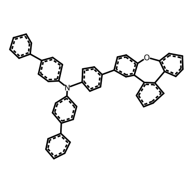 c1ccc(-c2ccc(N(c3ccc(-c4ccccc4)cc3)c3ccc(-c4ccc5c(c4)-c4ccccc4-c4ccccc4O5)cc3)cc2)cc1